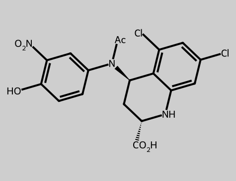 CC(=O)N(c1ccc(O)c([N+](=O)[O-])c1)[C@@H]1C[C@@H](C(=O)O)Nc2cc(Cl)cc(Cl)c21